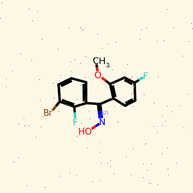 COc1cc(F)ccc1/C(=N/O)c1cccc(Br)c1F